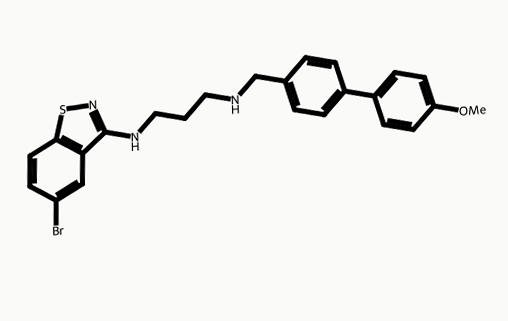 COc1ccc(-c2ccc(CNCCCNc3nsc4ccc(Br)cc34)cc2)cc1